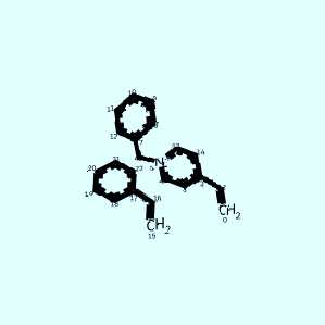 C=Cc1cc[n+](Cc2ccccc2)cc1.C=Cc1ccccc1